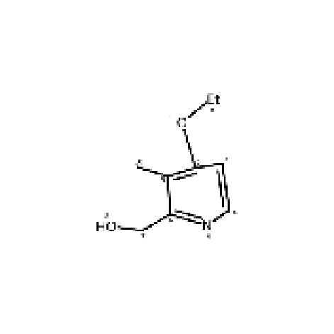 CCOc1ccnc(CO)c1C